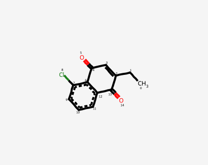 CCC1=CC(=O)c2c(Cl)cccc2C1=O